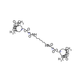 C=C1C(=O)O[C@H]2[C@H]1CC/C(COC(=O)/C=C/C(=O)NCCCCCCCCCCNC(=O)/C=C/C(=O)OC/C1=C/CC[C@@]3(C)O[C@H]3[C@H]3OC(=O)C(=C)[C@@H]3CC1)=C\CC[C@@]1(C)O[C@@H]21